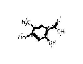 Cc1cc(C(=O)O)c(O)cc1O